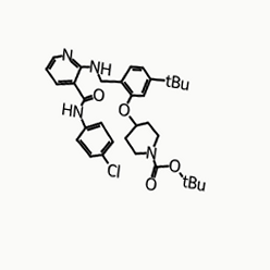 CC(C)(C)OC(=O)N1CCC(Oc2cc(C(C)(C)C)ccc2CNc2ncccc2C(=O)Nc2ccc(Cl)cc2)CC1